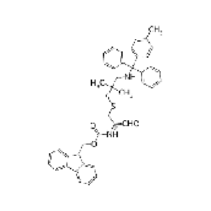 Cc1ccc(C(NCC(C)(C)SSC[C@@H](C=O)NC(=O)OCC2c3ccccc3-c3ccccc32)(c2ccccc2)c2ccccc2)cc1